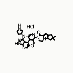 CC1(C)Cc2cc3n(c2C1)CCN(c1nccc(-c2ccnc4[nH]nc(N[C@@H]5CCNC5)c24)c1CO)C3=O.Cl